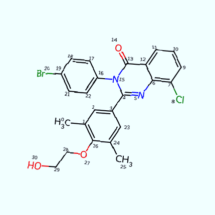 Cc1cc(-c2nc3c(Cl)cccc3c(=O)n2-c2ccc(Br)cc2)cc(C)c1OCCO